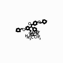 CC(C)(C)[Si](C)(C)OCc1cc(OCc2ccccc2)ccc1C(C(=O)c1ccc(OCc2ccccc2)cc1)c1ccc(Br)cc1